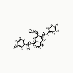 COc1cc2c(ONc3cccc(F)c3)ncnc2cc1OCc1ccccc1